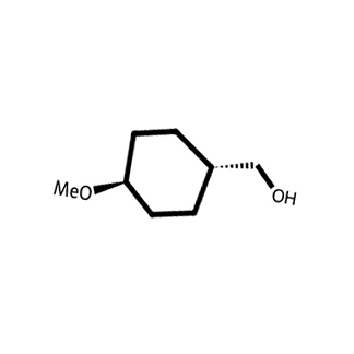 CO[C@H]1CC[C@H](CO)CC1